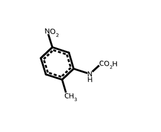 Cc1ccc([N+](=O)[O-])cc1NC(=O)O